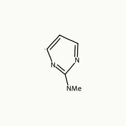 CNc1n[c]ccn1